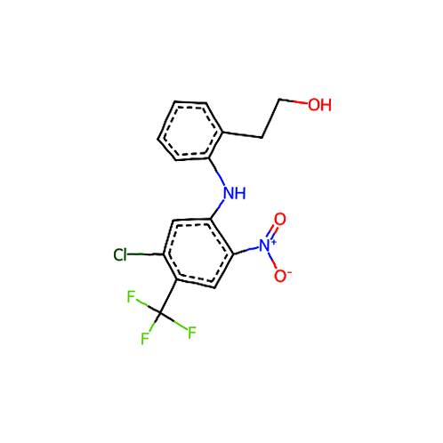 O=[N+]([O-])c1cc(C(F)(F)F)c(Cl)cc1Nc1ccccc1CCO